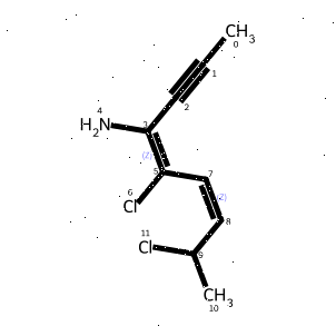 CC#C/C(N)=C(Cl)\C=C/C(C)Cl